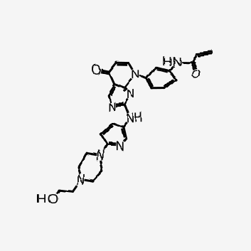 C=CC(=O)Nc1cccc(-n2ccc(=O)c3cnc(Nc4ccc(N5CCN(CCO)CC5)nc4)nc32)c1